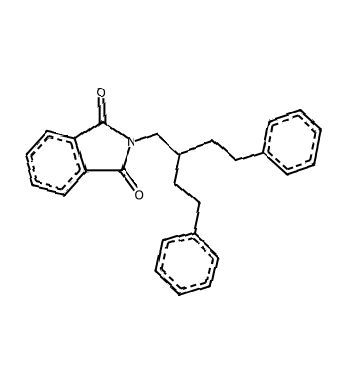 O=C1c2ccccc2C(=O)N1CC(CCc1ccccc1)CCc1ccccc1